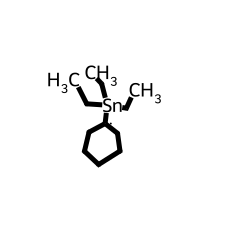 C[CH2][Sn]([CH2]C)([CH2]C)[C]1CCCCC1